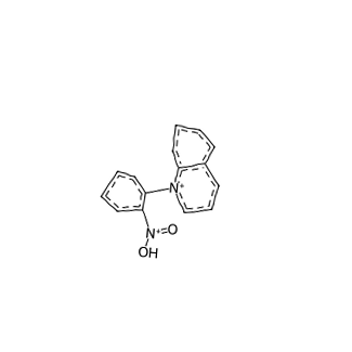 O=[N+](O)c1ccccc1-[n+]1cccc2ccccc21